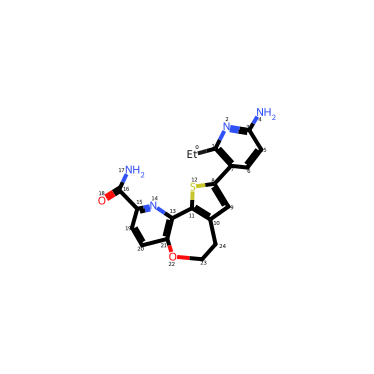 CCc1nc(N)ccc1-c1cc2c(s1)-c1nc(C(N)=O)ccc1OCC2